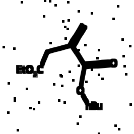 C=C(CC(=O)OCC)C(=O)OCCCC